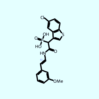 COc1cccc(/C=C/NC(=O)C(c2csc3ccc(Cl)cc23)P(=O)(O)O)c1